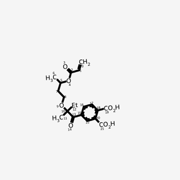 C=CC(=O)OC(C)CCOC(C)(CC)C(=O)c1ccc(C(=O)O)c(C(=O)O)c1